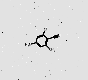 Cc1cc(N)cc(Cl)c1C#N